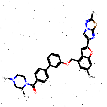 COc1cc(COc2cccc(-c3ccc(C(=O)N4CCN(C)C[C@@H]4C)cc3)c2)c2cc(-c3cn4nc(C)sc4n3)oc2c1